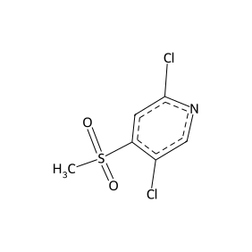 CS(=O)(=O)c1cc(Cl)ncc1Cl